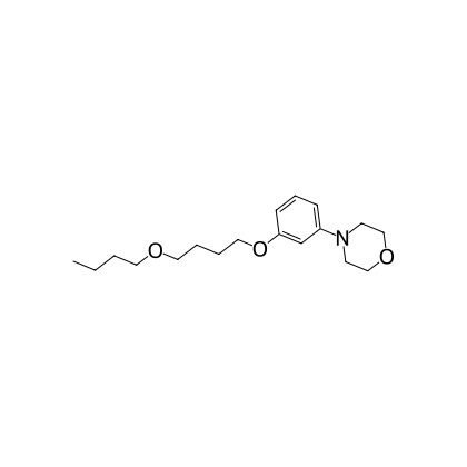 CCCCOCCCCOc1cccc(N2CCOCC2)c1